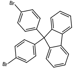 Brc1ccc(C2(c3ccc(Br)cc3)c3ccccc3-c3ccccc32)cc1